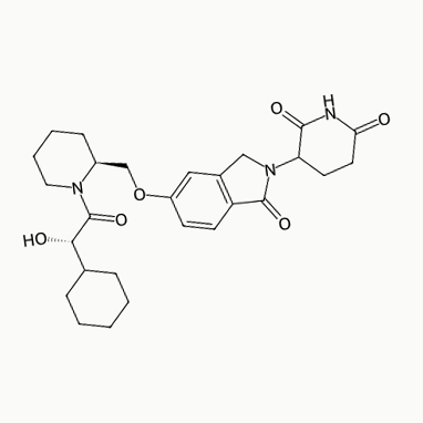 O=C1CCC(N2Cc3cc(OC[C@@H]4CCCCN4C(=O)[C@@H](O)C4CCCCC4)ccc3C2=O)C(=O)N1